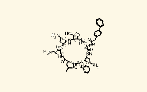 CC(C)C[C@@H]1NC(=O)[C@@H](Cc2ccccc2)NC(=O)[C@H](CCN)NC(=O)[C@@H](NC(=O)Cc2ccc(-c3ccccc3)cc2)CCNC(=O)[C@H]([C@@H](C)O)NC(=O)[C@H](CCN)NC(=O)[C@H](CCN)NC1=O